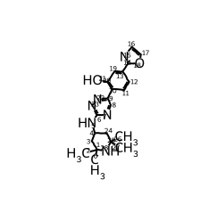 CC1(C)CC(Nc2ncc(-c3ccc(-c4ncco4)cc3O)nn2)CC(C)(C)N1